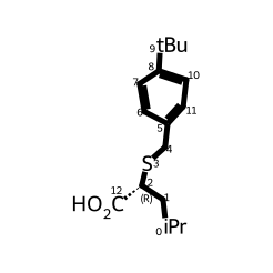 CC(C)C[C@@H](SCc1ccc(C(C)(C)C)cc1)C(=O)O